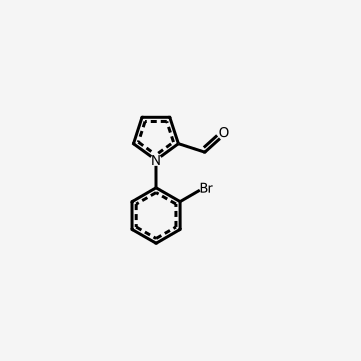 O=Cc1cccn1-c1ccccc1Br